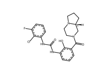 O=C(Nc1cccc(C(=O)N2CCN3CCC[C@@H]3C2)c1O)Nc1cccc(F)c1Cl